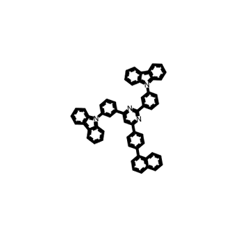 c1cc(-c2cc(-c3ccc(-c4cccc5ccccc45)cc3)nc(-c3cccc(-n4c5ccccc5c5ccccc54)c3)n2)cc(-n2c3ccccc3c3ccccc32)c1